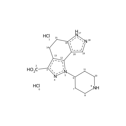 Cl.Cl.O=C(O)c1nn(C2CCNCC2)c2c1CCc1[nH]ncc1-2